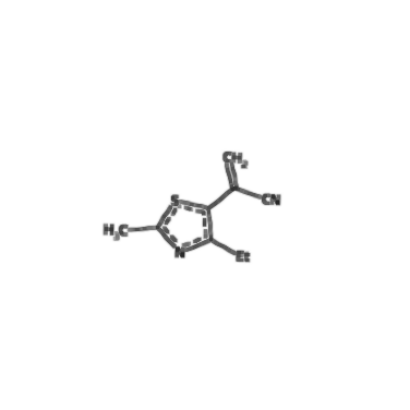 C=C(C#N)c1sc(C)nc1CC